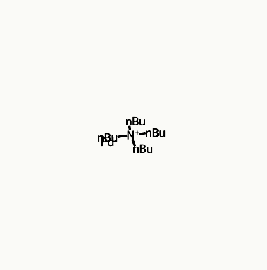 CCCC[N+](CCCC)(CCCC)CCCC.[Pd]